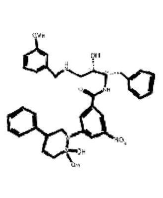 COc1cccc(CNC[C@H](O)[C@H](Cc2ccccc2)NC(=O)c2cc(N3CC(c4ccccc4)CCS3(O)O)cc([N+](=O)[O-])c2)c1